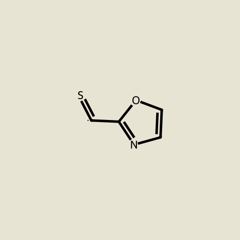 S=[C]c1ncco1